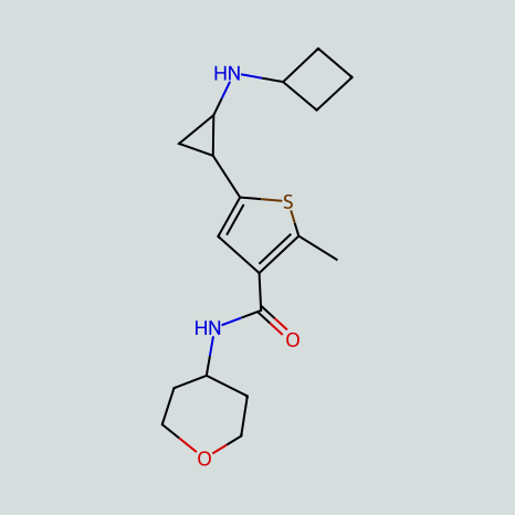 Cc1sc(C2CC2NC2CCC2)cc1C(=O)NC1CCOCC1